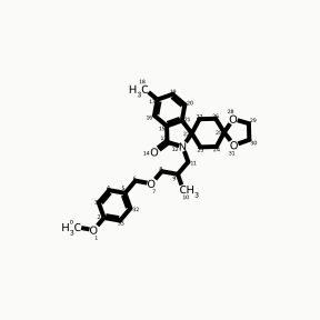 COc1ccc(COCC(C)CN2C(=O)c3cc(C)ccc3C23CCC2(CC3)OCCO2)cc1